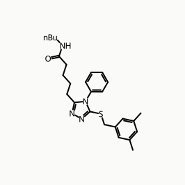 CCCCNC(=O)CCCCc1nnc(SCc2cc(C)cc(C)c2)n1-c1ccccc1